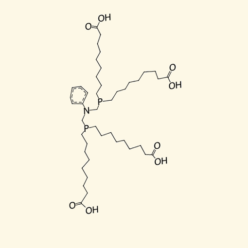 O=C(O)CCCCCCCCP(CCCCCCCCC(=O)O)CN(CP(CCCCCCCCC(=O)O)CCCCCCCCC(=O)O)c1ccccc1